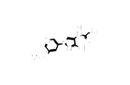 COc1cncc(-n2cc(NC(=O)C(C)C)c(Cl)n2)c1